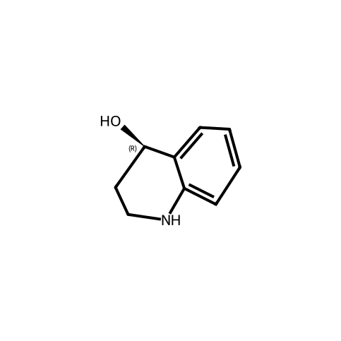 O[C@@H]1CCNc2ccccc21